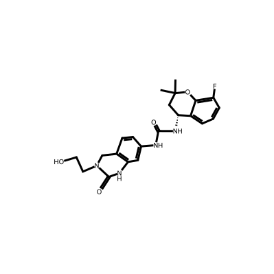 CC1(C)C[C@@H](NC(=O)Nc2ccc3c(c2)NC(=O)N(CCO)C3)c2cccc(F)c2O1